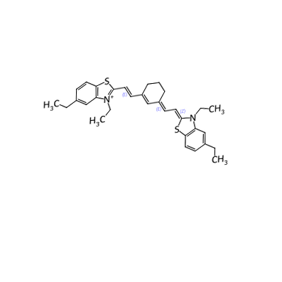 CCc1ccc2c(c1)N(CC)/C(=C/C=C1C=C(/C=C/c3sc4ccc(CC)cc4[n+]3CC)CCC/1)S2